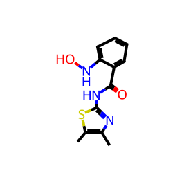 Cc1nc(NC(=O)c2ccccc2NO)sc1C